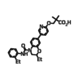 CCc1ccccc1NC(=O)N1CC(CC)Oc2cc(-c3ccc(OCC(C)(C)C(=O)O)nc3)ccc21